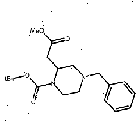 COC(=O)CC1CN(Cc2ccccc2)CCN1C(=O)OC(C)(C)C